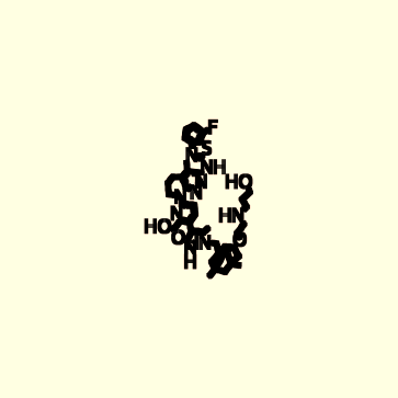 C/C(NCC12CC3(C)CC(C)(C1)CC(OCCNCCCO)(C3)C2)=C(/C=N)c1ccc(N2CCCc3c2nnc(Nc2nc4cccc(F)c4s2)c3C)nc1C(=O)O